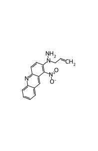 C=CCN(N)c1ccc2nc3ccccc3cc2c1[N+](=O)[O-]